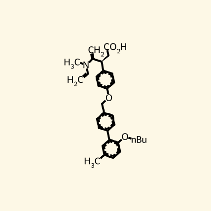 C=CN(C)C(=C)[C@@H](CC(=O)O)c1ccc(OCc2ccc(-c3cc(C)ccc3OCCCC)cc2)cc1